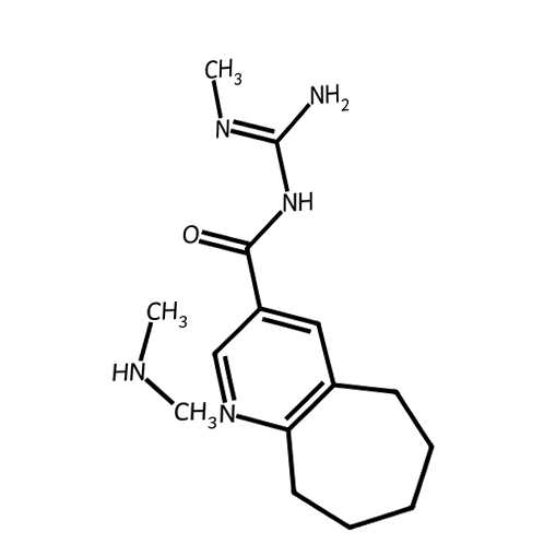 CN=C(N)NC(=O)c1cnc2c(c1)CCCCC2.CNC